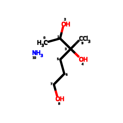 CC(O)C(O)(CCCO)C(Cl)(Cl)Cl.N